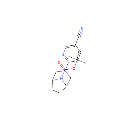 CC(C)(C)OC(=O)N1C2CCC1CN(c1ccc(C#N)cn1)C2